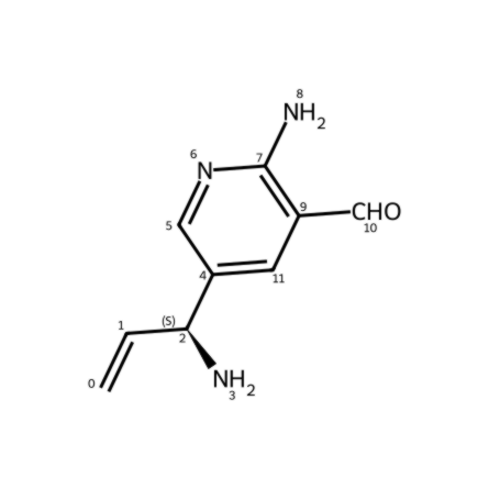 C=C[C@H](N)c1cnc(N)c(C=O)c1